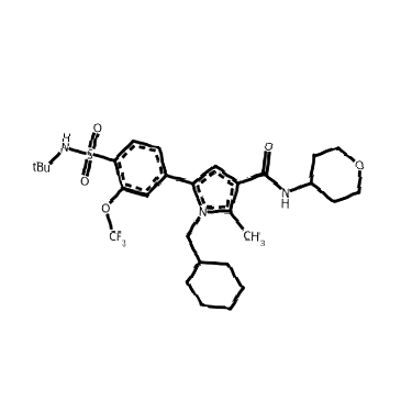 Cc1c(C(=O)NC2CCOCC2)cc(-c2ccc(S(=O)(=O)NC(C)(C)C)c(OC(F)(F)F)c2)n1CC1CCCCC1